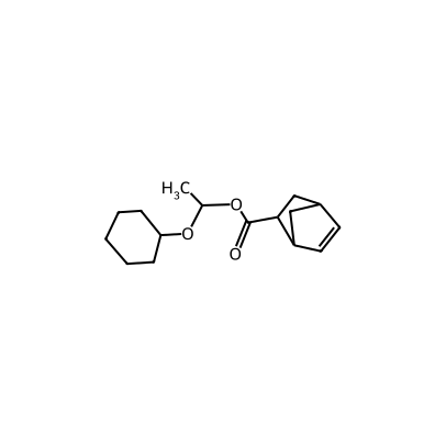 CC(OC(=O)C1CC2C=CC1C2)OC1CCCCC1